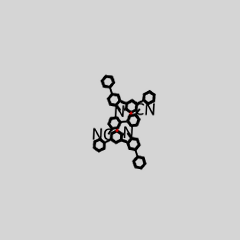 N#Cc1ccc(-n2c3ccc(-c4ccccc4)cc3c3cc(-c4ccccc4)ccc32)c(-c2cc(C#N)ccc2-n2c3ccc(-c4ccccc4)cc3c3cc(-c4ccccc4)ccc32)c1